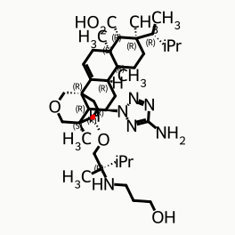 CC(C)[C@@H](C)[C@@]1(C)CC[C@]2(C)[C@H]3CC[C@@H]4[C@@]5(COC[C@@]4(C)[C@@H](OC[C@](C)(NCCCO)C(C)C)[C@H](n4nnc(N)n4)C5)C3=CC[C@@]2(C)[C@@H]1C(=O)O